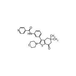 CC1(C)CC(=O)c2sc(N3CCOCC3)c(-c3cccc(NC(=O)c4ccncc4)c3)c2C1